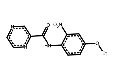 CCOc1ccc(NC(=O)c2cnccn2)c([N+](=O)[O-])c1